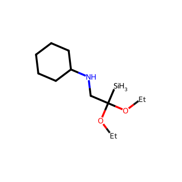 CCOC([SiH3])(CNC1CCCCC1)OCC